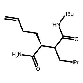 C=CCC[C@H](C(N)=O)C(CC(C)C)C(=O)NC(C)(C)C